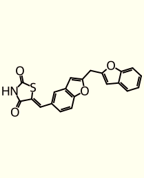 O=C1NC(=O)C(=Cc2ccc3oc(Cc4cc5ccccc5o4)cc3c2)S1